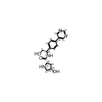 O=C(N[C@@H](CO)c1ccc(-c2cncnc2)cc1)[C@@H]1C[C@@H](O)CN1